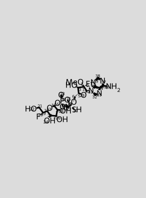 CC[C@@]1(OC)[C@H](O)[C@@H](COP(=O)(S)OP(=O)(O)OC2OC([C@@H](F)CO)C(O)C(O)C2O)O[C@H]1n1cnc2c(N)ncnc21